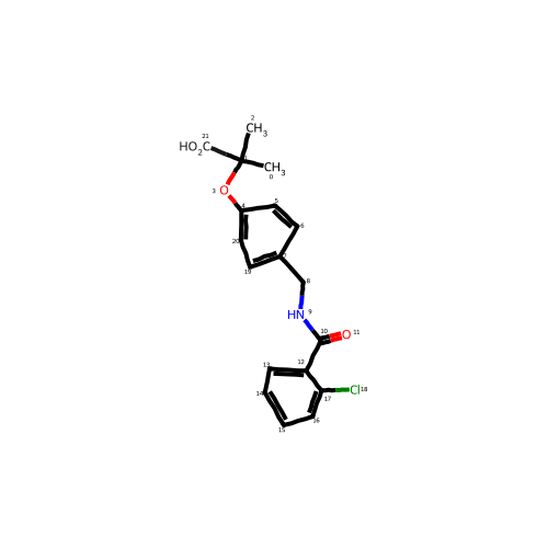 CC(C)(Oc1ccc(CNC(=O)c2ccccc2Cl)cc1)C(=O)O